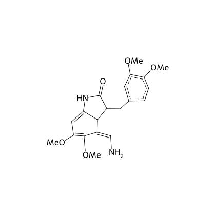 COC1=C(OC)C(=CN)C2C(=C1)NC(=O)C2Cc1ccc(OC)c(OC)c1